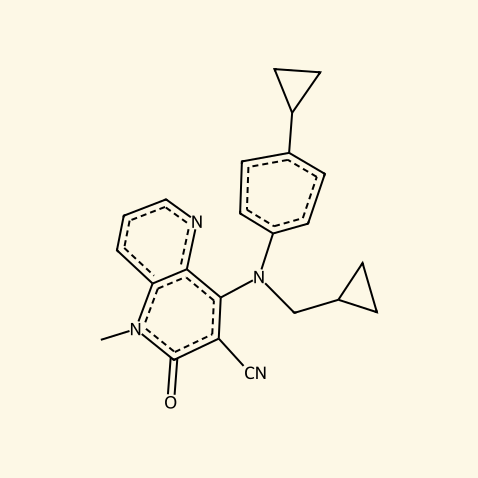 Cn1c(=O)c(C#N)c(N(CC2CC2)c2ccc(C3CC3)cc2)c2ncccc21